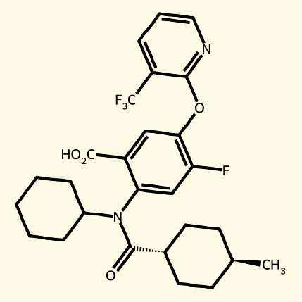 C[C@H]1CC[C@H](C(=O)N(c2cc(F)c(Oc3ncccc3C(F)(F)F)cc2C(=O)O)C2CCCCC2)CC1